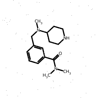 CN(C)C(=O)c1cccc(CN(C)C2CCNCC2)c1